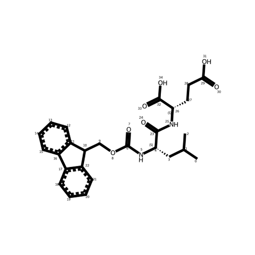 CC(C)C[C@H](NC(=O)OCC1c2ccccc2-c2ccccc21)C(=O)N[C@@H](CCC(=O)O)C(=O)O